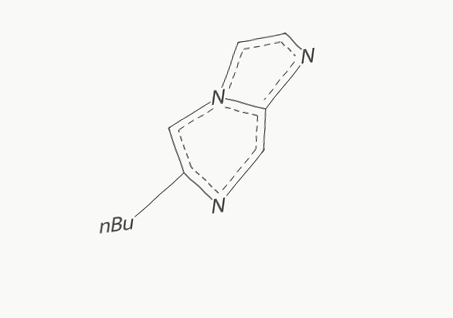 CCCCc1cn2ccnc2cn1